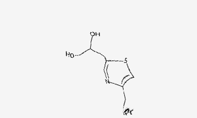 CC(C)c1csc(C(O)O)n1